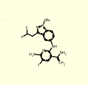 C=C(N)c1cc(F)c(N)nc1Nc1ccc2c(c1)c(CC(F)F)nn2CCCC